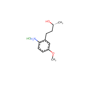 COc1ccc(N)c(CC[C@@H](C)O)c1.Cl